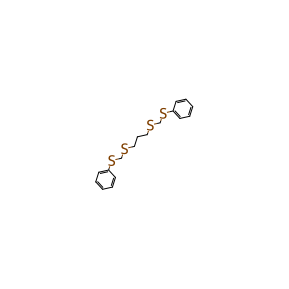 c1ccc(SCSCCCSCSc2ccccc2)cc1